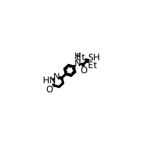 CCC(S)(CC)C(=O)Nc1ccc(C2=NNC(=O)CC2)cc1